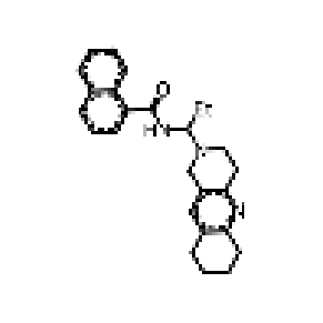 CCC(NC(=O)c1cccc2ccccc12)N1CCc2nc3c(cc2C1)CCCC3